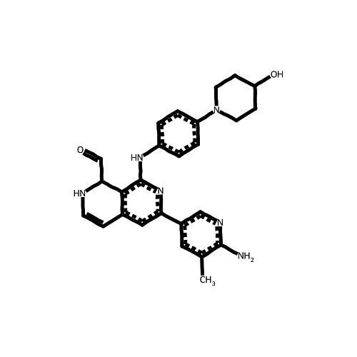 Cc1cc(-c2cc3c(c(Nc4ccc(N5CCC(O)CC5)cc4)n2)C(C=O)NC=C3)cnc1N